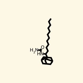 CCCCCCCCCCCC(NC(N)=O)C12CC3CC(CC(C3)C1)C2